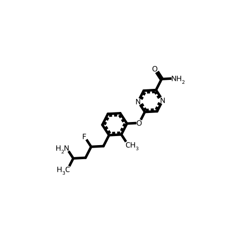 Cc1c(CC(F)CC(C)N)cccc1Oc1cnc(C(N)=O)cn1